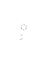 CCc1ccc(NC(=O)/C=C\C(=O)O)cc1